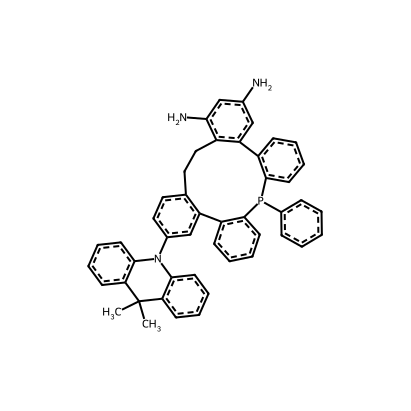 CC1(C)c2ccccc2N(c2ccc3c(c2)-c2ccccc2P(c2ccccc2)c2ccccc2-c2cc(N)cc(N)c2CC3)c2ccccc21